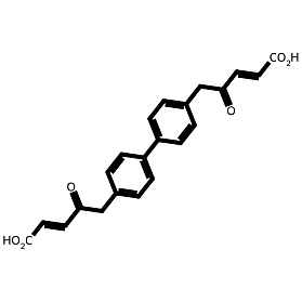 O=C(O)/C=C/C(=O)Cc1ccc(-c2ccc(CC(=O)/C=C/C(=O)O)cc2)cc1